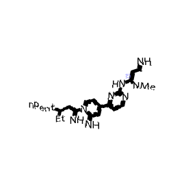 CCCCCC(CC)CC(=N)n1ccc(-c2ccnc(N/C(=C/C=N)NC)n2)cc1=N